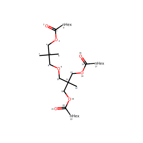 CCCCCCC(=O)OCC(C)(C)COCC(C)(COC(=O)CCCCCC)COC(=O)CCCCCC